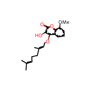 COc1cccc2c(OC/C=C(\C)CCC=C(C)C)c(O)c(=O)oc12